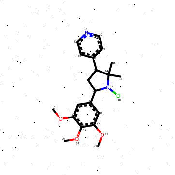 COc1cc(C2CC(c3ccncc3)C(C)(C)N2Cl)cc(OC)c1OC